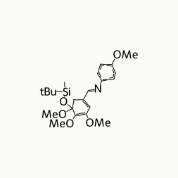 COC1=C(OC)C(OC)(O[Si](C)(C)C(C)(C)C)CC(C=Nc2ccc(OC)cc2)=C1